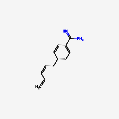 C=C/C=C\Cc1ccc(C(=N)N)cc1